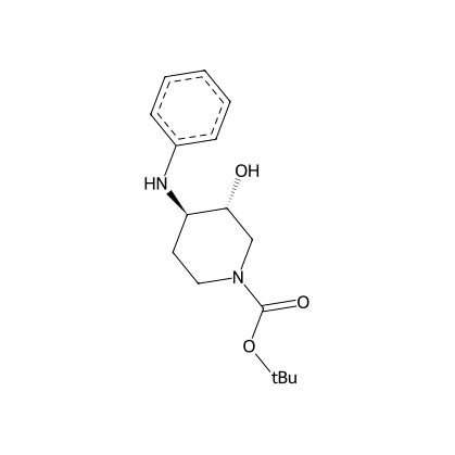 CC(C)(C)OC(=O)N1CC[C@@H](Nc2ccccc2)[C@H](O)C1